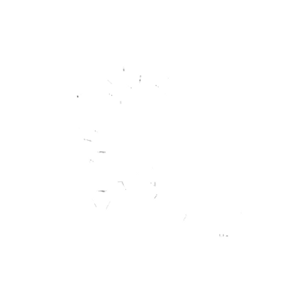 CCCO[C@H](C[C@H](C(C)C)N(CCC)C(=O)[C@@H](NC(=O)[C@H]1CCCCN1C)[C@@H](C)CC)C1NC(C(=O)N[C@H]2Cc3ccc(F)cc3[C@H](C(=O)OC(C)CNC(=O)CCCC(=O)OCC(OC)OC(C)CO)C2)=CS1